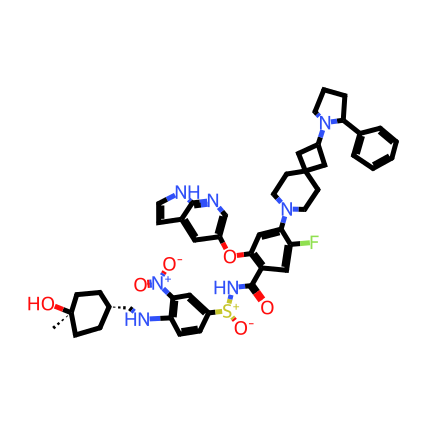 C[C@]1(O)CC[C@H](CNc2ccc([S+]([O-])NC(=O)c3cc(F)c(N4CCC5(CC4)CC(N4CCCC4c4ccccc4)C5)cc3Oc3cnc4[nH]ccc4c3)cc2[N+](=O)[O-])CC1